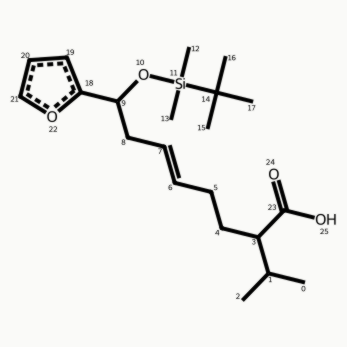 CC(C)C(CCC=CCC(O[Si](C)(C)C(C)(C)C)c1ccco1)C(=O)O